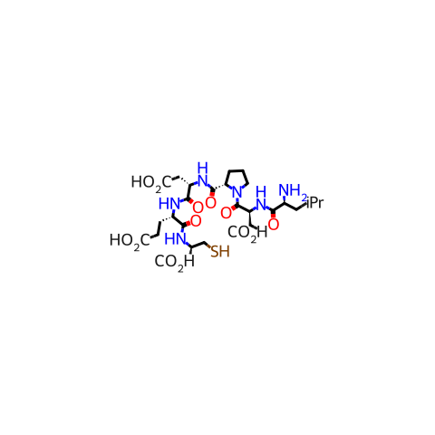 CC(C)C[C@H](N)C(=O)N[C@@H](CC(=O)O)C(=O)N1CCC[C@H]1C(=O)N[C@@H](CC(=O)O)C(=O)N[C@@H](CCC(=O)O)C(=O)N[C@@H](CS)C(=O)O